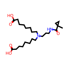 CC1(C(=O)NCCCN(CCCCCCCC(=O)O)CCCCCCCC(=O)O)CC1